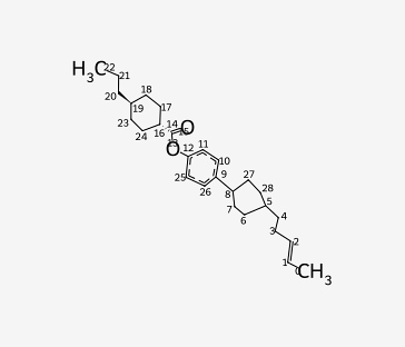 C/C=C/CCC1CCC(c2ccc(OC(=O)[C@H]3CC[C@H](CCC)CC3)cc2)CC1